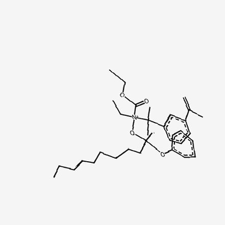 [CH2]C(CCCCCCCCC)(Oc1ccccc1)O[N+](CC)(C(=O)OCC)C(C)(C)c1cccc(C(=C)C)c1